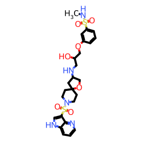 CNS(=O)(=O)c1cccc(OCC(O)CNC2COC3(CCN(S(=O)(=O)c4c[nH]c5cccnc45)CC3)C2)c1